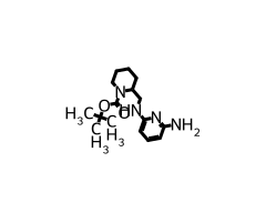 CC(C)(C)OC(=O)N1CCCCC1CNc1cccc(N)n1